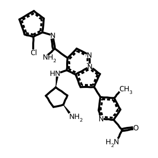 Cc1cc(C(N)=O)ncc1-c1cc2c(N[C@@H]3CC[C@H](N)C3)c(/C(N)=N/c3ccccc3Cl)cnn2c1